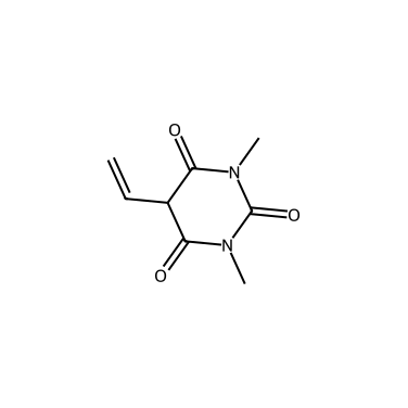 C=CC1C(=O)N(C)C(=O)N(C)C1=O